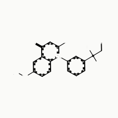 CCC(F)(F)c1cccc(-n2c(C)cc(=O)c3cc(OC)ccc32)c1